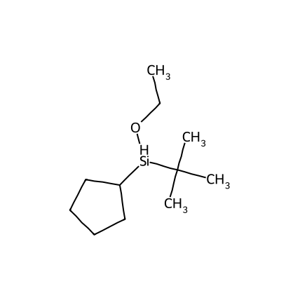 CCO[SiH](C1CCCC1)C(C)(C)C